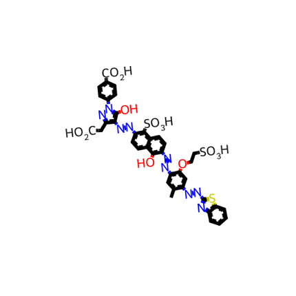 Cc1cc(N=Nc2ccc3c(S(=O)(=O)O)c(N=Nc4c(CC(=O)O)nn(-c5ccc(C(=O)O)cc5)c4O)ccc3c2O)c(OCCS(=O)(=O)O)cc1N=Nc1nc2ccccc2s1